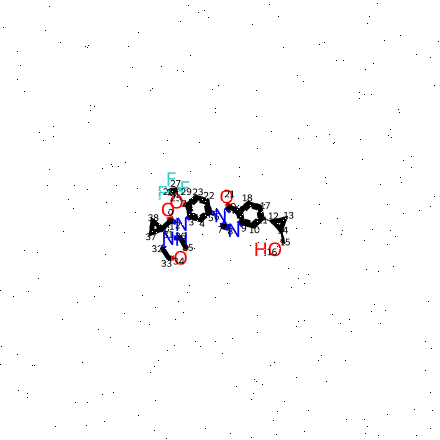 O=C(Nc1cc(-n2cnc3cc([C@@H]4C[C@H]4CO)ccc3c2=O)ccc1OC(F)(F)F)C1(N2CCOCC2)CC1